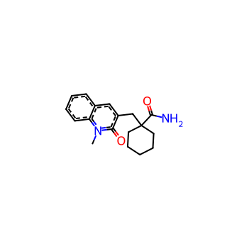 Cn1c(=O)c(CC2(C(N)=O)CCCCC2)cc2ccccc21